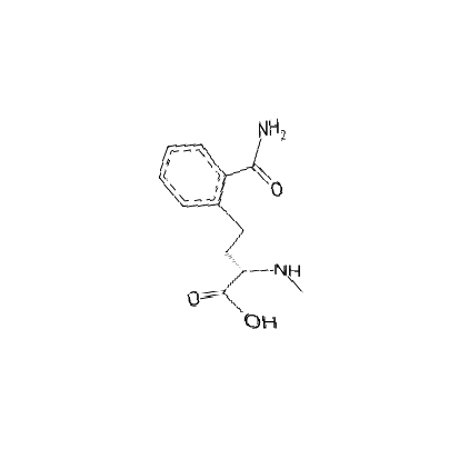 CN[C@@H](CCc1ccccc1C(N)=O)C(=O)O